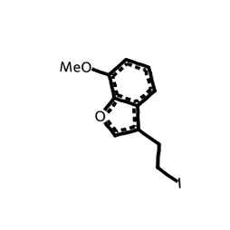 COc1cccc2c(CCI)coc12